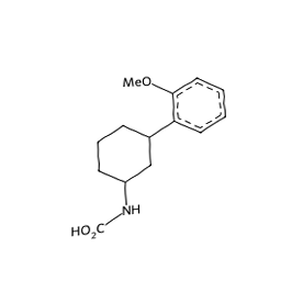 COc1ccccc1C1CCCC(NC(=O)O)C1